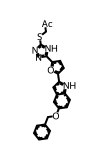 CC(=O)CSc1nnc(-c2ccc(-c3cc4cc(OCc5ccccc5)ccc4[nH]3)o2)[nH]1